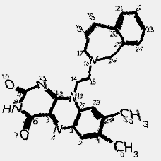 Cc1cc2nc3c(=O)[nH]c(=O)nc-3n(CCN3CCCc4ccccc4C3)c2cc1C